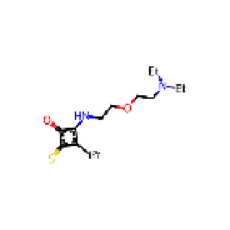 CCN(CC)CCOCCNc1c(C(C)C)c(=S)c1=O